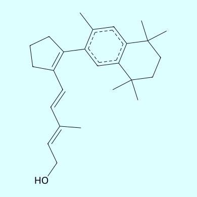 C/C(C=CC1=C(c2cc3c(cc2C)C(C)(C)CCC3(C)C)CCC1)=C\CO